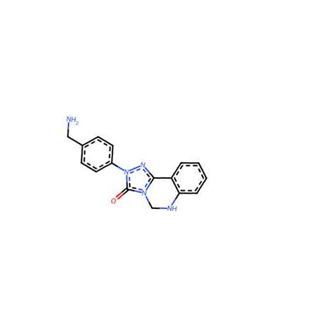 NCc1ccc(-n2nc3n(c2=O)CNc2ccccc2-3)cc1